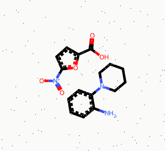 Nc1ccccc1N1CCCCC1.O=C(O)c1ccc([N+](=O)[O-])o1